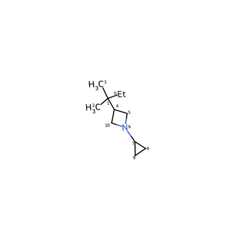 CCC(C)(C)C1CN(C2CC2)C1